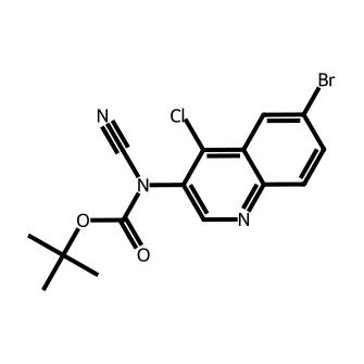 CC(C)(C)OC(=O)N(C#N)c1cnc2ccc(Br)cc2c1Cl